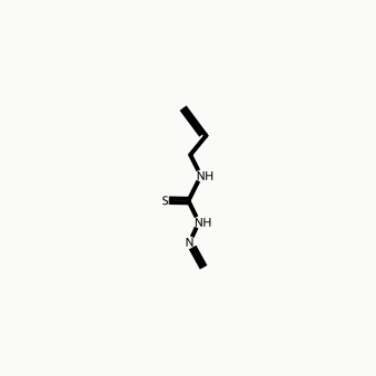 C=CCNC(=S)NN=C